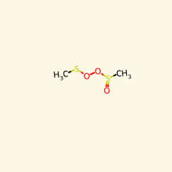 CSOOS(C)=O